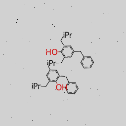 CC(C)Cc1cc(Cc2ccccc2)cc(CC(C)C)c1O.Cc1cc(Cc2ccccc2)c(O)c(CC(C)C)c1